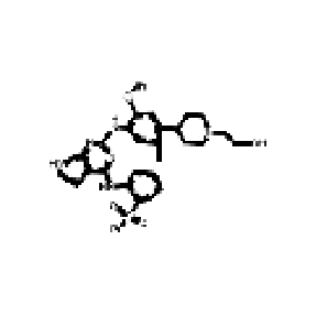 Cc1cc(Nc2nc(Nc3ccccc3S(=O)(=O)C(C)C)c3cc[nH]c3n2)c(OC(C)C)cc1C1CCN(CCO)CC1